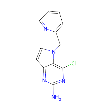 Nc1nc(Cl)c2c(ccn2Cc2ccccn2)n1